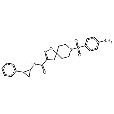 Cc1ccc(S(=O)(=O)N2CCC3(CC2)CC(C(=O)NC2CC2c2ccccc2)=NO3)cc1